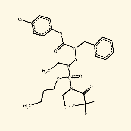 CCCCSP(=O)(N(CC)SN(Cc1ccccc1)C(=O)Sc1ccc(Cl)cc1)N(CC)C(=O)C(F)(F)F